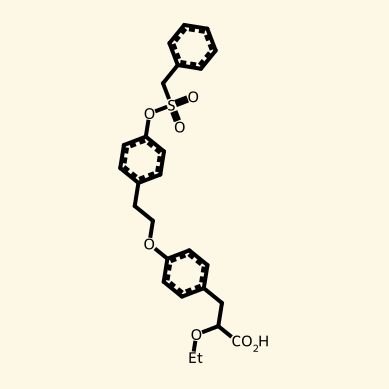 CCOC(Cc1ccc(OCCc2ccc(OS(=O)(=O)Cc3ccccc3)cc2)cc1)C(=O)O